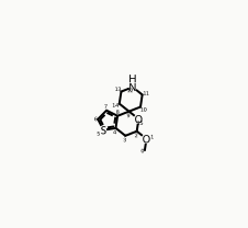 COC1Cc2sccc2C2(CCNCC2)O1